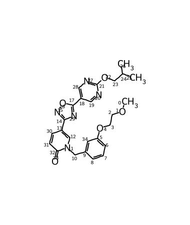 COCCOc1cccc(Cn2cc(-c3noc(-c4cnc(OCC(C)C)nc4)n3)ccc2=O)c1